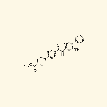 CCOC(=O)C1CCN(c2cnc(C(=O)Nc3cc(Br)c(-c4ccccc4)cn3)cn2)CC1